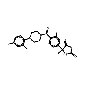 Cc1ccc(N2CCN(C(=O)c3ccc(C4(C)NC(=O)NC4=O)cc3F)CC2)c(C)c1